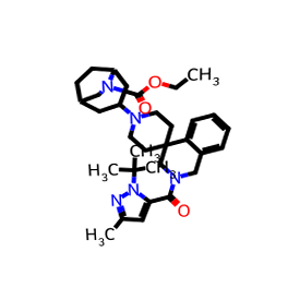 CCOC(=O)N1CC2CCC1CC(N1CCC3(CC1)CN(C(=O)c1cc(C)nn1C(C)(C)C)Cc1ccccc13)C2